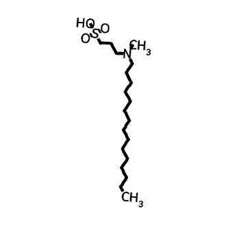 CCCCCCCCCCCCCCCN(C)CCCS(=O)(=O)O